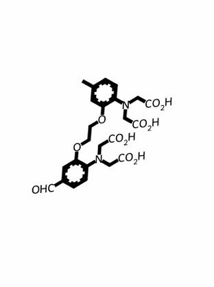 Cc1ccc(N(CC(=O)O)CC(=O)O)c(OCCOc2cc(C=O)ccc2N(CC(=O)O)CC(=O)O)c1